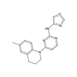 Cc1ccc2c(c1)CCCN2c1ccnc(Nc2cocn2)n1